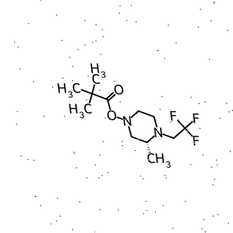 C[C@@H]1CN(OC(=O)C(C)(C)C)CCN1CC(F)(F)F